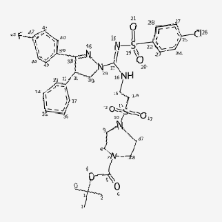 CC(C)(C)OC(=O)N1CCN(S(=O)(=O)CCN/C(=N\S(=O)(=O)c2ccc(Cl)cc2)N2CC(c3ccccc3)C(c3ccc(F)cc3)=N2)CC1